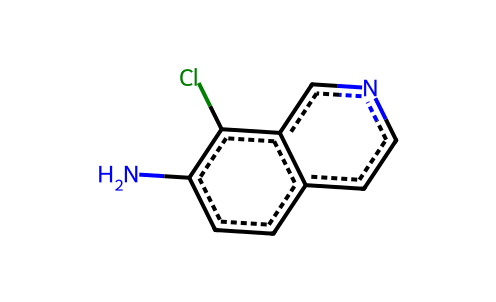 Nc1ccc2ccncc2c1Cl